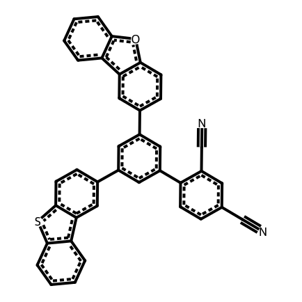 N#Cc1ccc(-c2cc(-c3ccc4oc5ccccc5c4c3)cc(-c3ccc4sc5ccccc5c4c3)c2)c(C#N)c1